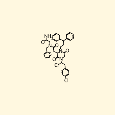 NC(=O)CN(Cc1cccs1)C(=O)CC1C(=O)N(C(Cl)Cc2ccc(Cl)cc2)CC(=O)N1CCC(c1ccccc1)c1ccccc1